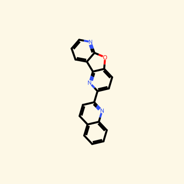 c1ccc2nc(-c3ccc4oc5ncccc5c4n3)ccc2c1